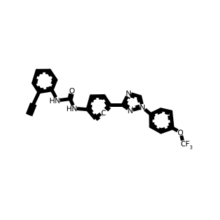 C#Cc1ccccc1NC(=O)Nc1ccc(-c2ncn(-c3ccc(OC(F)(F)F)cc3)n2)cc1